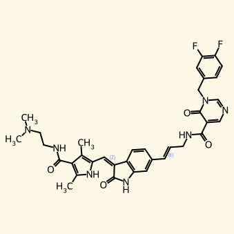 Cc1[nH]c(/C=C2\C(=O)Nc3cc(/C=C/CNC(=O)c4cncn(Cc5ccc(F)c(F)c5)c4=O)ccc32)c(C)c1C(=O)NCCN(C)C